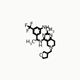 Cc1nc2c(c(N[C@H](C)c3cc(N)cc(C(F)(F)F)c3)n1)CN(CC1CCOC1)CC2